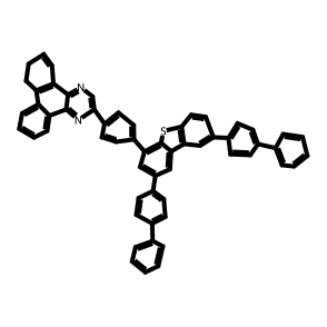 C1=Cc2c(c3ccccc3c3nc(-c4ccc(-c5cc(-c6ccc(-c7ccccc7)cc6)cc6c5sc5ccc(-c7ccc(-c8ccccc8)cc7)cc56)cc4)cnc23)CC1